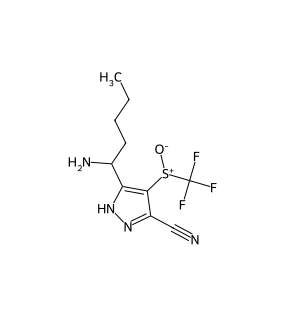 CCCCC(N)c1[nH]nc(C#N)c1[S+]([O-])C(F)(F)F